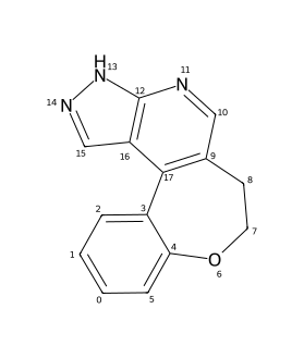 c1ccc2c(c1)OCCc1cnc3[nH]ncc3c1-2